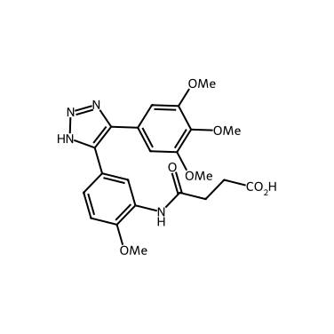 COc1ccc(-c2[nH]nnc2-c2cc(OC)c(OC)c(OC)c2)cc1NC(=O)CCC(=O)O